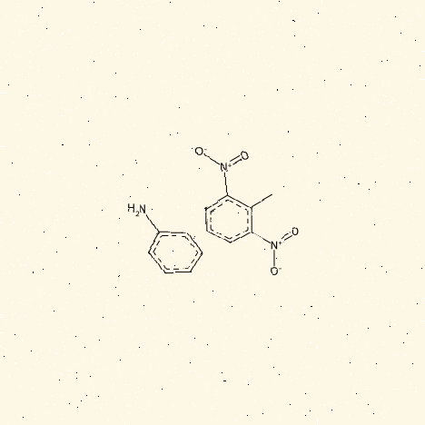 Cc1c([N+](=O)[O-])cccc1[N+](=O)[O-].Nc1ccccc1